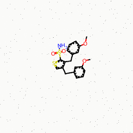 COc1cccc(Cc2csc(S(N)(=O)=O)c2Cc2cccc(OC)c2)c1